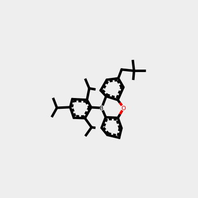 CC(C)c1cc(C(C)C)c(B2c3ccccc3Oc3cc(CC(C)(C)C)ccc32)c(C(C)C)c1